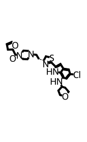 O=C(C1CC=CO1)N1CCN(CC[C@@H]2CSC(c3cc4cc(Cl)cc(NC5CCOCC5)c4[nH]3)=N2)CC1